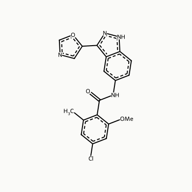 COc1cc(Cl)cc(C)c1C(=O)Nc1ccc2[nH]nc(-c3cnco3)c2c1